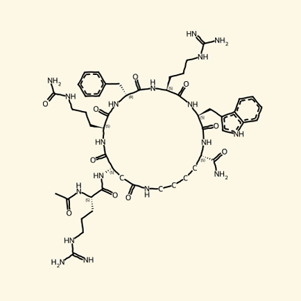 CC(=O)N[C@@H](CCCNC(=N)N)C(=O)N[C@H]1CC(=O)NCCCC[C@@H](C(N)=O)NC(=O)[C@H](Cc2c[nH]c3ccccc23)NC(=O)[C@H](CCCNC(=N)N)NC(=O)[C@@H](Cc2ccccc2)NC(=O)[C@H](CCCNC(N)=O)NC1=O